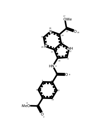 COC(=O)c1ccc(C(=O)Nc2c[nH]c3c(C(=O)OC)ncnc23)cc1